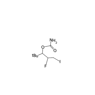 CC(C)(C)C(OC(N)=O)C(F)CI